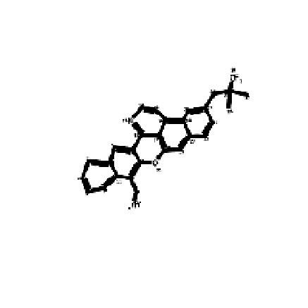 CC(C)Cc1c2c(cc3ccccc13)-c1nccc3c1c(cc1ccc(CC(C)(C)C(F)(F)F)cc13)O2